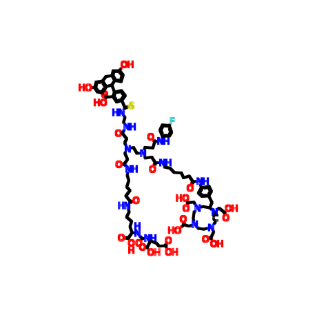 O=C(O)CCC(NC(=O)NC(CCCCNC(=O)CCCCCNC(=O)CCN(CCC(=O)NCCNC(=S)c1ccc(C2c3ccc(O)cc3Cc3cc(O)ccc32)c(C(=O)O)c1)CCN(CCC(=O)NCCCCCCC(=O)Nc1ccc(CC2CN(CC(=O)O)CCN(CC(=O)O)CCN(CC(=O)O)CCN2CC(=O)O)cc1)CCC(=O)Nc1ccc(F)cc1)C(=O)O)C(=O)O